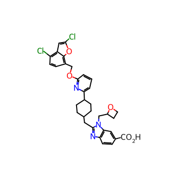 O=C(O)c1ccc2nc(CC3CCC(c4cccc(OCc5ccc(Cl)c6cc(Cl)oc56)n4)CC3)n(CC3CCO3)c2c1